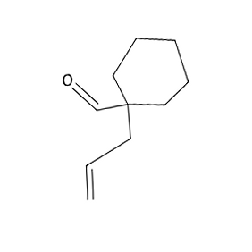 C=CCC1(C=O)CCCCC1